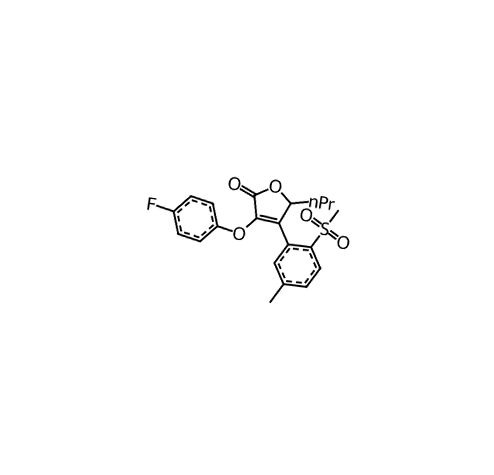 CCCC1OC(=O)C(Oc2ccc(F)cc2)=C1c1cc(C)ccc1S(C)(=O)=O